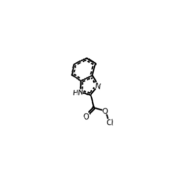 O=C(OCl)c1nc2ccccc2[nH]1